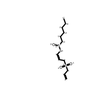 C=CCS(=O)(=O)C/C=C\S[S+]([O-])CCCCCC